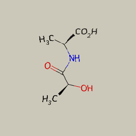 C[C@H](O)C(=O)N[C@@H](C)C(=O)O